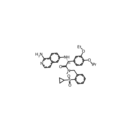 CCOc1cc([C@@H](Nc2ccc3c(N)nccc3c2)C(=O)N(C)Cc2ccccc2S(=O)(=O)C2CC2)ccc1OC(C)C